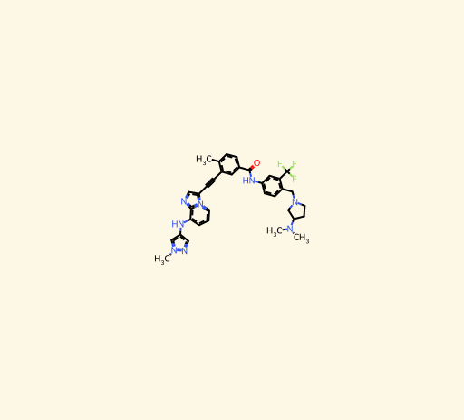 Cc1ccc(C(=O)Nc2ccc(CN3CCC(N(C)C)C3)c(C(F)(F)F)c2)cc1C#Cc1cnc2c(Nc3cnn(C)c3)cccn12